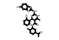 CC(=O)c1ccc(C)c(NC(=O)C2=C(C)NC(Nc3nc4ccc(F)cc4o3)=NC2c2ccccc2Cl)c1